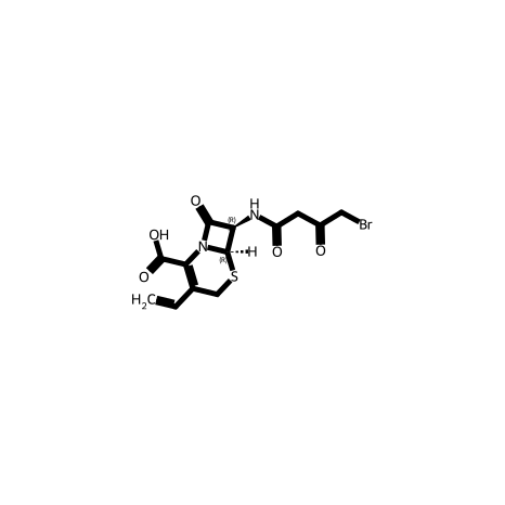 C=CC1=C(C(=O)O)N2C(=O)[C@@H](NC(=O)CC(=O)CBr)[C@H]2SC1